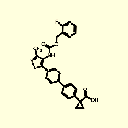 Cc1nsc(-c2ccc(-c3ccc(C4(C(=O)O)CC4)cc3)cc2)c1NC(=O)OCc1ccccc1F